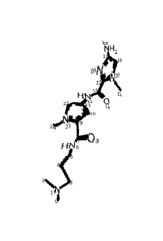 CN(C)CCCNC(=O)c1cc(NC(=O)c2nc(N)cn2C)cn1C